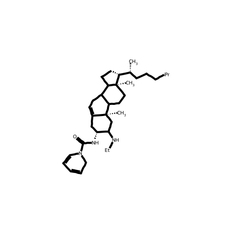 CCNC1C[C@@]2(C)C(=CCC3C2CC[C@@]2(C)C3CC[C@@H]2[C@H](C)CCCC(C)C)C[C@H]1NC(=O)N1C=CC=CC1